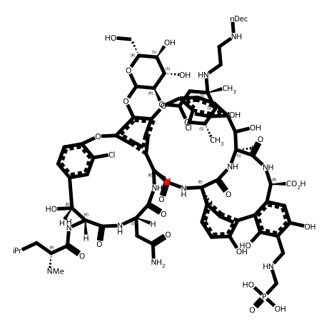 CCCCCCCCCCNCCN[C@@]1(C)CC(O[C@H]2C(Oc3c4cc5cc3Oc3ccc(cc3Cl)[C@@H](O)[C@@H](NC(=O)[C@@H](CC(C)C)NC)C(=O)N[C@@H](CC(N)=O)C(=O)N[C@H]5C(=O)N[C@H]3C(=O)N[C@H](C(=O)N[C@@H](C(=O)O)c5cc(O)c(CNCP(=O)(O)O)c(O)c5-c5cc3ccc5O)C(O)c3ccc(c(Cl)c3)O4)O[C@H](CO)[C@@H](O)[C@@H]2O)O[C@@H](C)[C@H]1O